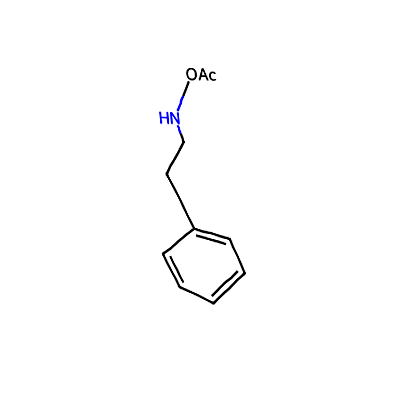 CC(=O)ONCCc1ccccc1